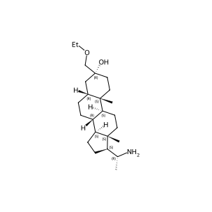 CCOC[C@@]1(O)CC[C@@]2(C)[C@H](CC[C@@H]3[C@@H]2CC[C@]2(C)[C@@H]([C@@H](C)N)CC[C@@H]32)C1